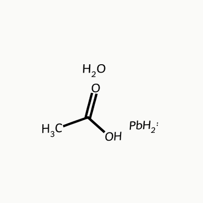 CC(=O)O.O.[PbH2]